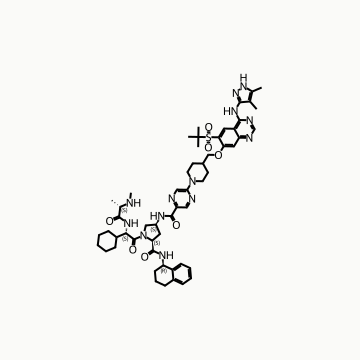 CN[C@@H](C)C(=O)N[C@H](C(=O)N1C[C@@H](NC(=O)c2cnc(N3CCC(COc4cc5ncnc(Nc6n[nH]c(C)c6C)c5cc4S(=O)(=O)C(C)(C)C)CC3)cn2)C[C@H]1C(=O)N[C@@H]1CCCc2ccccc21)C1CCCCC1